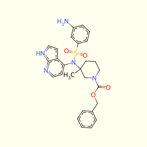 CC1(N(c2ccnc3[nH]ccc23)S(=O)(=O)c2cccc(N)c2)CCCN(C(=O)OCc2ccccc2)C1